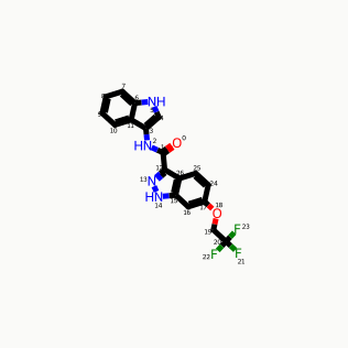 O=C(Nc1c[nH]c2ccccc12)c1n[nH]c2cc(OCC(F)(F)F)ccc12